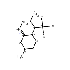 CCC(N1CCN(C)C/C1=N/N)C(F)(F)F